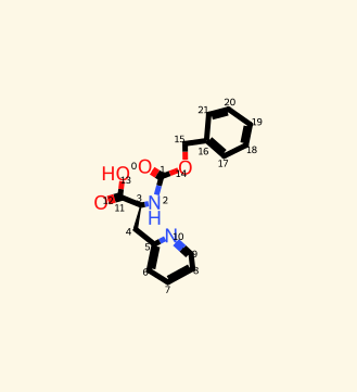 O=C(N[C@@H](Cc1ccccn1)C(=O)O)OCc1ccccc1